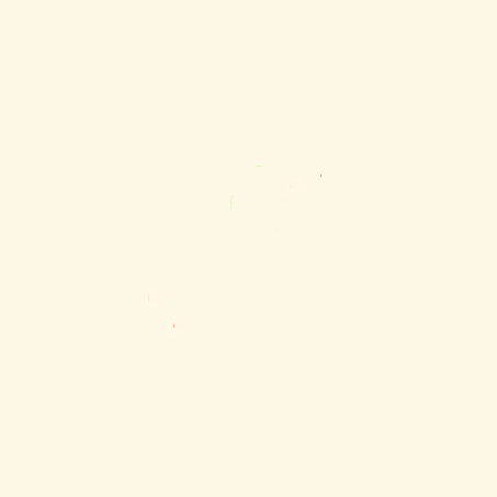 CCOc1ccc(C2CCC(CCC3OCCCO3)CC2)c(F)c1F